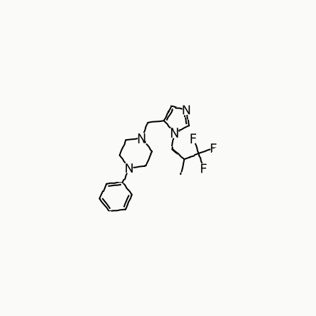 CC(Cn1cncc1CN1CCN(c2ccccc2)CC1)C(F)(F)F